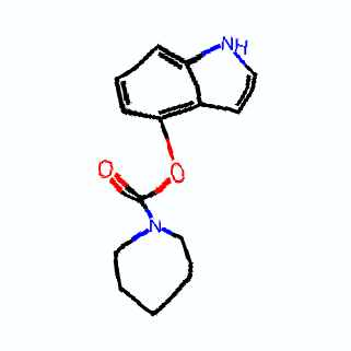 O=C(Oc1cccc2[nH]ccc12)N1CCCCC1